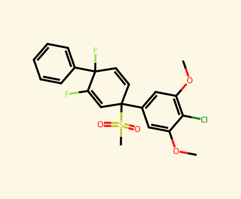 COc1cc(C2(S(C)(=O)=O)C=CC(F)(c3ccccc3)C(F)=C2)cc(OC)c1Cl